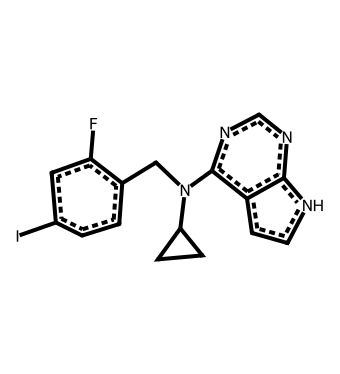 Fc1cc(I)ccc1CN(c1ncnc2[nH]ccc12)C1CC1